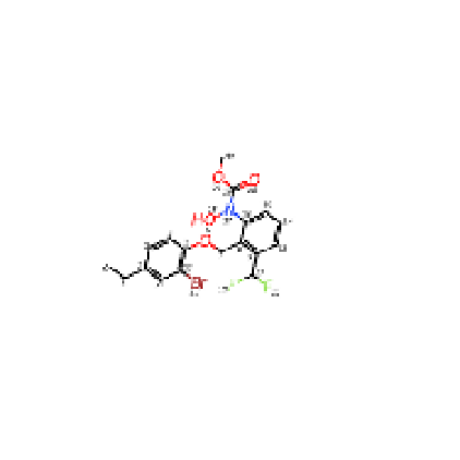 CCc1ccc(OCc2c(C(F)F)cccc2N(O)C(=O)OC)c(Br)c1